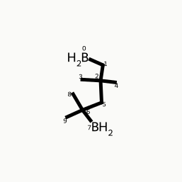 BCC(C)(C)CC(B)(C)C